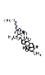 CCCCC/C=C/C=C/C(=O)OC1C(O)CC(c2ccc3c(c2O)C(=O)C2=C(C3=O)C3(O)C(=O)C=C(C)CC3(O)C=C2)OC1C